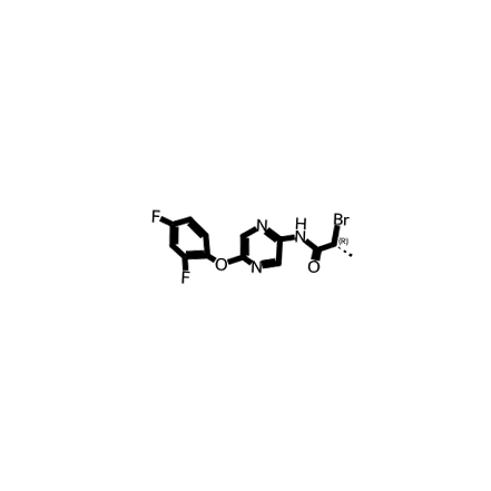 C[C@@H](Br)C(=O)Nc1cnc(Oc2ccc(F)cc2F)cn1